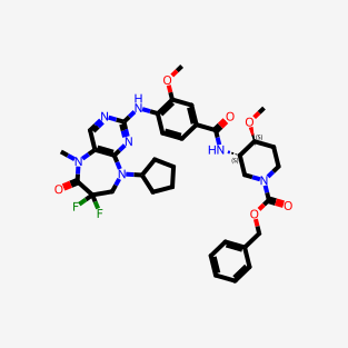 COc1cc(C(=O)N[C@H]2CN(C(=O)OCc3ccccc3)CC[C@@H]2OC)ccc1Nc1ncc2c(n1)N(C1CCCC1)CC(F)(F)C(=O)N2C